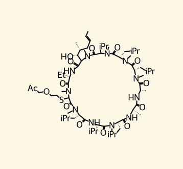 C/C=C/C[C@@H](C)[C@@H](O)C1C(=O)N[C@@H](CC)C(=O)N(C)C(SCCOCC(C)=O)C(=O)N(C)[C@@H](CC(C)C)C(=O)N[C@@H](C(C)C)C(=O)N(C)[C@@H](CC(C)C)C(=O)N[C@@H](C)C(=O)N[C@@H](C)C(=O)N(C)[C@@H](CC(C)C)C(=O)N(C)[C@@H](CC(C)C)C(=O)N(C)C(C(C)C)C(=O)N1C